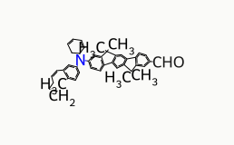 C=CC/C=C\c1cc(N(c2ccc3c(c2)C(C)(C)c2cc4c(cc2-3)C(C)(C)c2cc(C=O)ccc2-4)[C@H]2C=CC=CC2)ccc1C